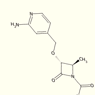 CNC(=O)N1C(=O)[C@H](OCc2ccnc(N)c2)[C@H]1C